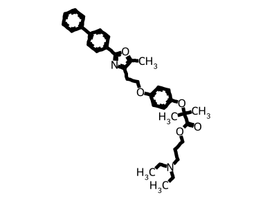 CCN(CC)CCCOC(=O)C(C)(C)Oc1ccc(OCCc2nc(-c3ccc(-c4ccccc4)cc3)oc2C)cc1